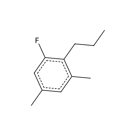 CCCc1c(C)cc(C)cc1F